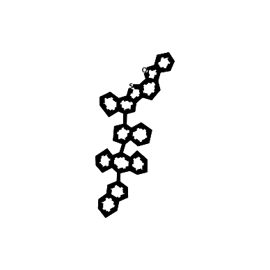 c1ccc2cc(-c3c4ccccc4c(-c4ccc(-c5cc6c7ccc8c9ccccc9oc8c7sc6c6ccccc56)c5ccccc45)c4ccccc34)ccc2c1